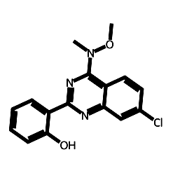 CON(C)c1nc(-c2ccccc2O)nc2cc(Cl)ccc12